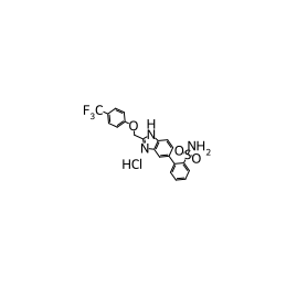 Cl.NS(=O)(=O)c1ccccc1-c1ccc2[nH]c(COc3ccc(C(F)(F)F)cc3)nc2c1